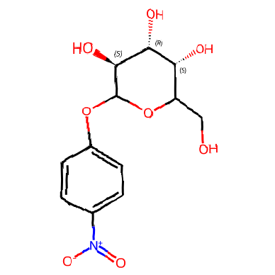 O=[N+]([O-])c1ccc(OC2OC(CO)[C@@H](O)[C@@H](O)[C@@H]2O)cc1